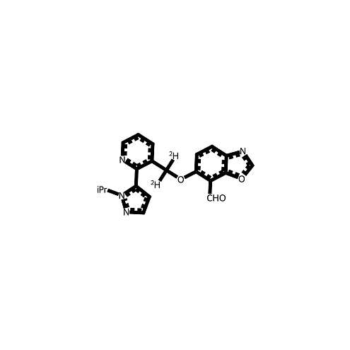 [2H]C([2H])(Oc1ccc2ncoc2c1C=O)c1cccnc1-c1ccnn1C(C)C